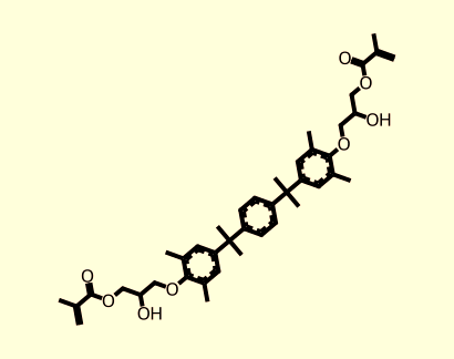 C=C(C)C(=O)OCC(O)COc1c(C)cc(C(C)(C)c2ccc(C(C)(C)c3cc(C)c(OCC(O)COC(=O)C(=C)C)c(C)c3)cc2)cc1C